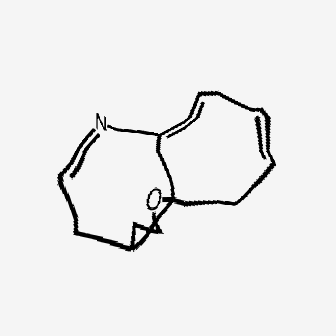 C1=CCC23OCCC2CC=NC3=C1